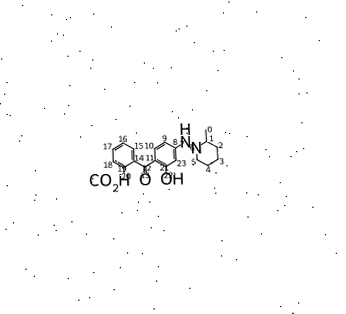 CC1CCCCN1Nc1ccc(C(=O)c2ccccc2C(=O)O)c(O)c1